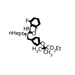 CCCCCCCN(Cc1ccc(OC(C)(C)C(=O)OCC)cc1)C(=O)Nc1c(F)cccc1F